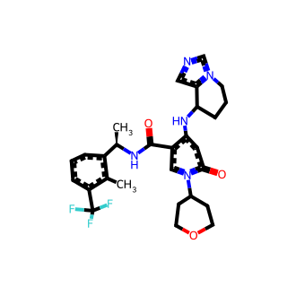 Cc1c([C@@H](C)NC(=O)c2cn(C3CCOCC3)c(=O)cc2NC2CCCn3cncc32)cccc1C(F)(F)F